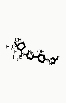 CC[C@]1(C)CCC[C@H](N(C)c2ccc(-c3ccc(-n4cc(F)cn4)cc3O)nn2)[C@@H]1F